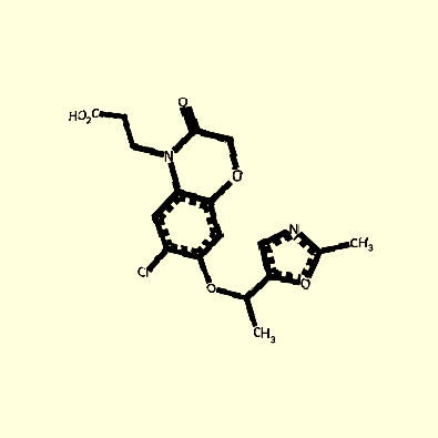 Cc1ncc(C(C)Oc2cc3c(cc2Cl)N(CCC(=O)O)C(=O)CO3)o1